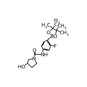 CC1(C)OB(c2ccc(NC(=O)N3CC[C@@H](O)C3)cc2F)OC1(C)C